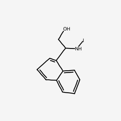 OCC(NI)c1cccc2ccccc12